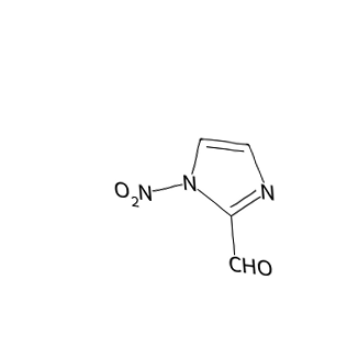 O=Cc1nccn1[N+](=O)[O-]